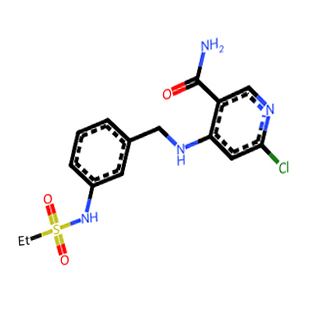 CCS(=O)(=O)Nc1cccc(CNc2cc(Cl)ncc2C(N)=O)c1